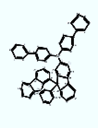 c1ccc(-c2ccc(N(c3ccc(-c4ccccc4)cc3)c3ccc4c(c3)C(c3ccccc3)(c3cccc5c3sc3ccccc35)c3ccccc3-4)cc2)cc1